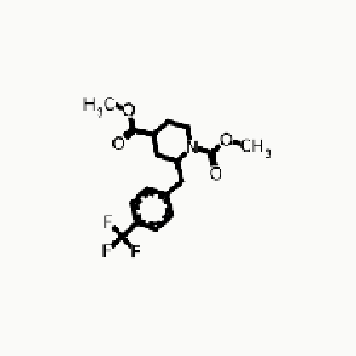 COC(=O)C1CCN(C(=O)OC)C(Cc2ccc(C(F)(F)F)cc2)C1